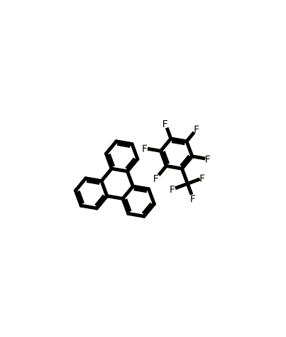 Fc1c(F)c(F)c(C(F)(F)F)c(F)c1F.c1ccc2c(c1)c1ccccc1c1ccccc21